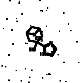 CN1C2CC1CC(O)(c1ncc[nH]1)C2